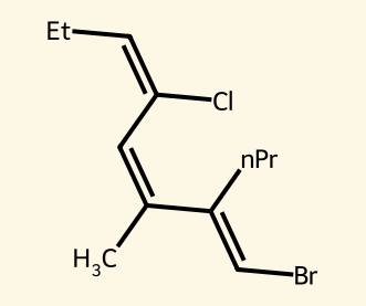 CC\C=C(Cl)/C=C(C)\C(=C\Br)CCC